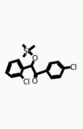 C[Si](C)(C)OC(C(=O)c1ccc(Cl)cc1)c1ccccc1Cl